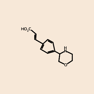 O=C(O)/C=C/c1ccc(C2COCCN2)cc1